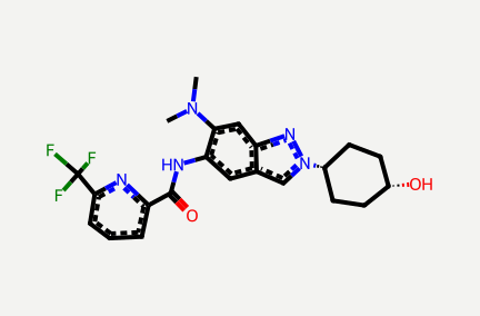 CN(C)c1cc2nn([C@H]3CC[C@@H](O)CC3)cc2cc1NC(=O)c1cccc(C(F)(F)F)n1